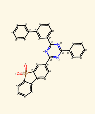 O=S1(=O)c2ccccc2-c2ccc(-c3nc(-c4ccccc4)nc(-c4cccc(-c5ccccc5)c4)n3)cc21